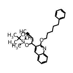 C#CCC(O[Si](C)(C)C(C)(C)C)c1cc2ccccc2nc1OCCCCCc1ccccc1